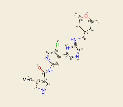 CO[C@H]1CNC[C@@H]1C(=O)Nc1cc(-c2cncc(NCC3C[C@@H](C)O[C@@H](C)C3)n2)c(Cl)cn1